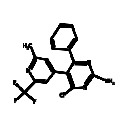 Cc1cc(-c2c(Cl)nc(N)nc2-c2ccccc2)cc(C(F)(F)F)n1